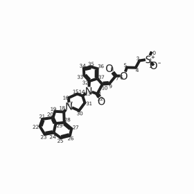 C[S+]([O-])CCCOC(=O)/C=C1/C(=O)N(C2CCN(C3Cc4cccc5cccc3c45)CC2)c2ccccc21